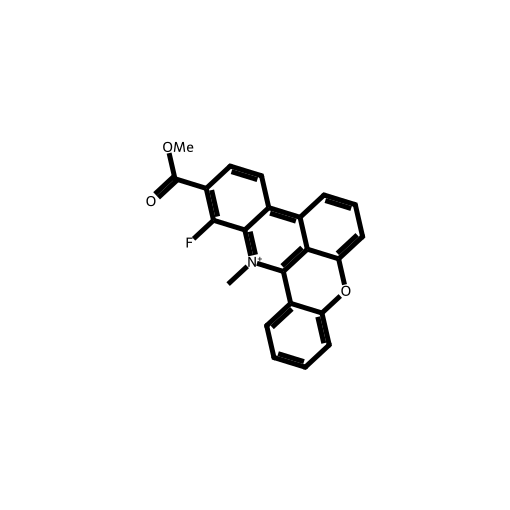 COC(=O)c1ccc2c3cccc4c3c([n+](C)c2c1F)-c1ccccc1O4